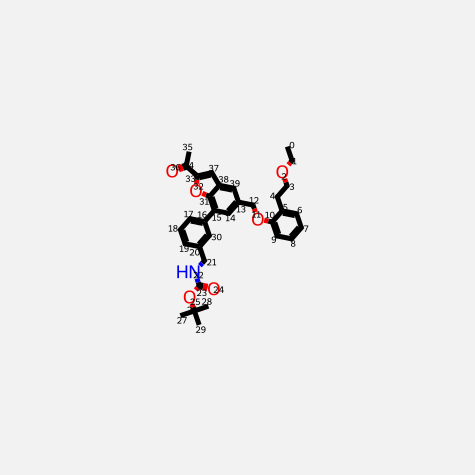 CCOCCc1ccccc1OCc1cc(-c2cccc(CNC(=O)OC(C)(C)C)c2)c2oc(C(C)=O)cc2c1